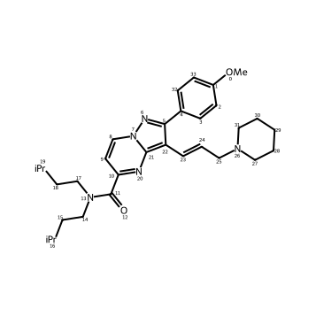 COc1ccc(-c2nn3ccc(C(=O)N(CCC(C)C)CCC(C)C)nc3c2/C=C/CN2CCCCC2)cc1